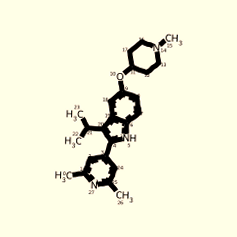 Cc1cc(-c2[nH]c3ccc(OC4CCN(C)CC4)cc3c2C(C)C)cc(C)n1